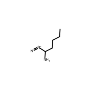 CCCCC(N)[N+]=[N-]